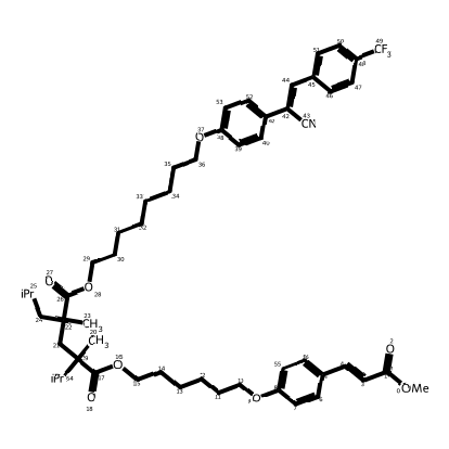 COC(=O)/C=C/c1ccc(OCCCCCCOC(=O)C(C)(CC(C)(CC(C)C)C(=O)OCCCCCCCCOc2ccc(/C(C#N)=C/c3ccc(C(F)(F)F)cc3)cc2)C(C)C)cc1